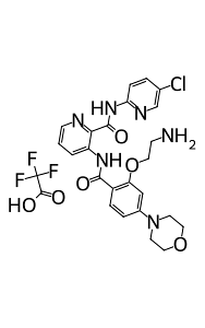 NCCOc1cc(N2CCOCC2)ccc1C(=O)Nc1cccnc1C(=O)Nc1ccc(Cl)cn1.O=C(O)C(F)(F)F